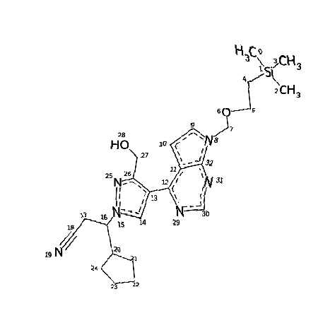 C[Si](C)(C)CCOCn1ccc2c(-c3cn(C(CC#N)C4CCCC4)nc3CO)ncnc21